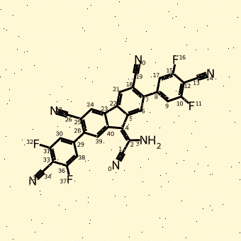 N#CC(N)=C1c2cc(-c3cc(F)c(C#N)c(F)c3)c(C#N)cc2-c2cc(C#N)c(-c3cc(F)c(C#N)c(F)c3)cc21